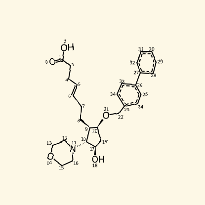 O=C(O)CC/C=C/CC[C@@H]1[C@@H](N2CCOCC2)[C@H](O)C[C@@H]1OCc1ccc(-c2ccccc2)cc1